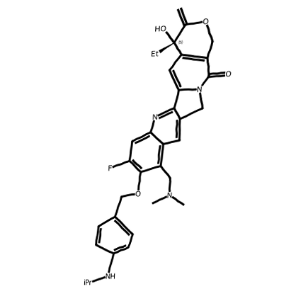 C=C1OCc2c(cc3n(c2=O)Cc2cc4c(CN(C)C)c(OCc5ccc(NC(C)C)cc5)c(F)cc4nc2-3)[C@@]1(O)CC